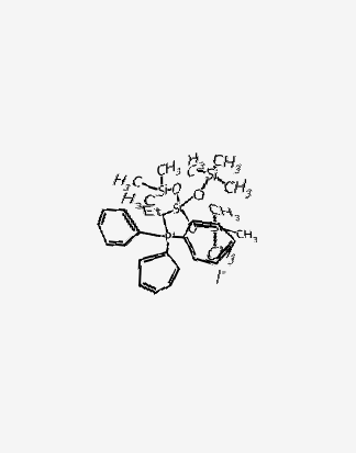 CCC([Si](O[Si](C)(C)C)(O[Si](C)(C)C)O[Si](C)(C)C)[P+](c1ccccc1)(c1ccccc1)c1ccccc1.[I-]